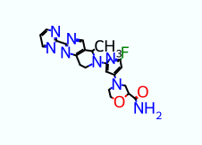 CC1c2cnc(-c3ncccn3)nc2CCN1c1cc(N2CCOC(C(N)=O)C2)cc(F)n1